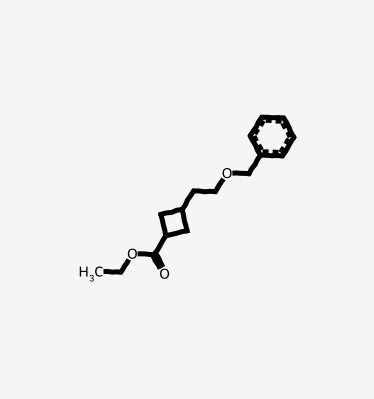 CCOC(=O)C1CC(CCOCc2ccccc2)C1